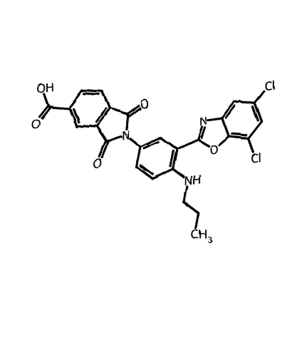 CCCNc1ccc(N2C(=O)c3ccc(C(=O)O)cc3C2=O)cc1-c1nc2cc(Cl)cc(Cl)c2o1